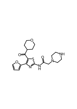 O=C(CN1CCNCC1)Nc1nc(-c2ccco2)c(C(=O)C2CCOCC2)s1